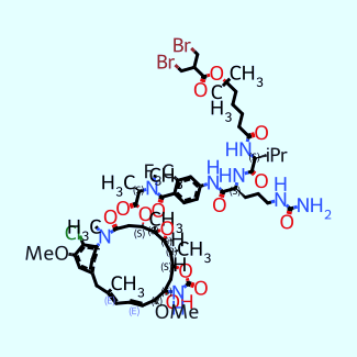 COc1cc2cc(c1Cl)N(C)C(=O)C[C@H](OC(=O)[C@H](C)N(C)C(=O)c1ccc(NC(=O)[C@H](CCCNC(N)=O)NC(=O)[C@@H](NC(=O)CCCCC(C)(C)OC(=O)C(CBr)CBr)C(C)C)cc1C(F)(F)F)[C@]1(C)O[C@H]1[C@H](C)[C@@H]1C[C@@](O)(NC(=O)O1)[C@H](OC)/C=C/C=C(\C)C2